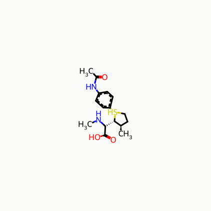 CNC(C(=O)O)[C@H]1[C@H](C)CC[SH]1c1ccc(NC(C)=O)cc1